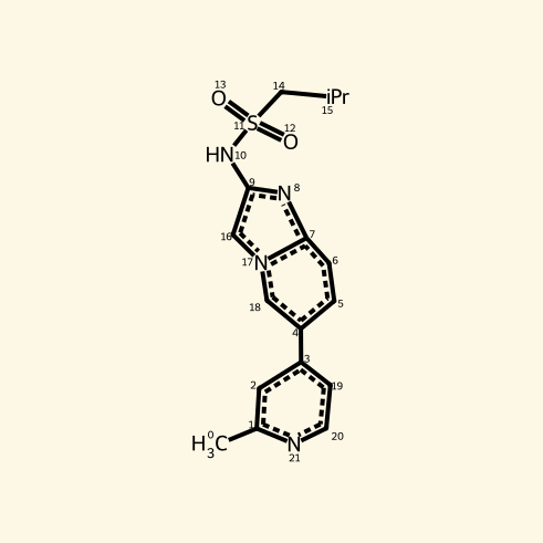 Cc1cc(-c2ccc3nc(NS(=O)(=O)CC(C)C)cn3c2)ccn1